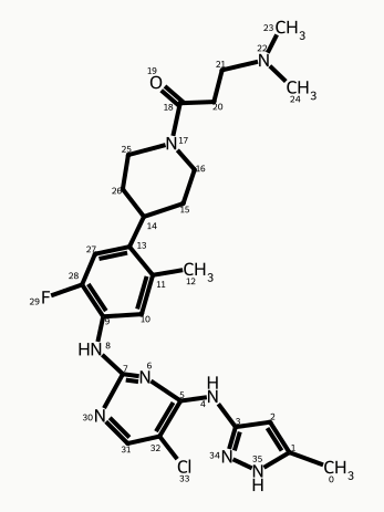 Cc1cc(Nc2nc(Nc3cc(C)c(C4CCN(C(=O)CCN(C)C)CC4)cc3F)ncc2Cl)n[nH]1